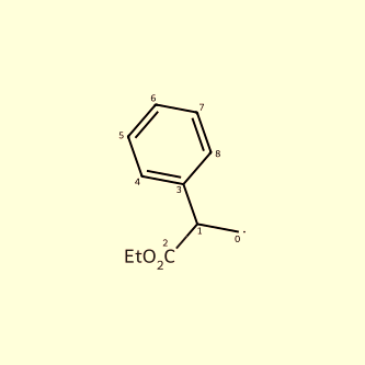 [CH2]C(C(=O)OCC)c1ccccc1